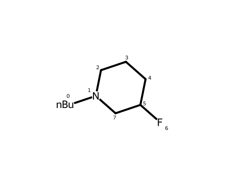 CCCCN1CCCC(F)C1